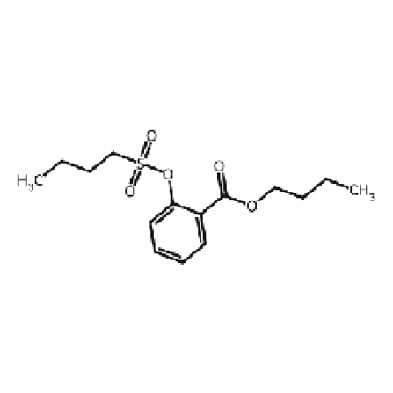 CCCCOC(=O)c1ccccc1OS(=O)(=O)CCCC